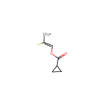 O=C(O)C(F)=COC(=O)C1CC1